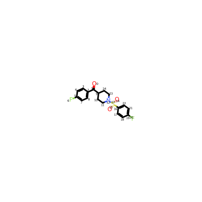 O=C(c1ccc(F)cc1)C1CCN(S(=O)(=O)c2ccc(F)cc2)CC1